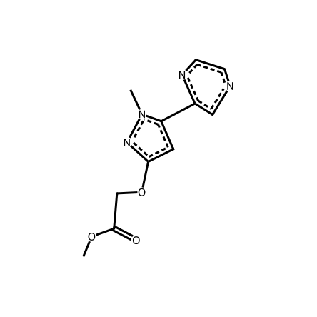 COC(=O)COc1cc(-c2cnccn2)n(C)n1